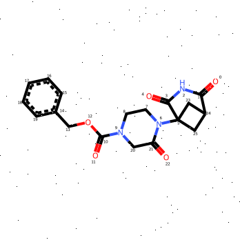 O=C1NC(=O)C2(N3CCN(C(=O)OCc4ccccc4)CC3=O)CC1C2